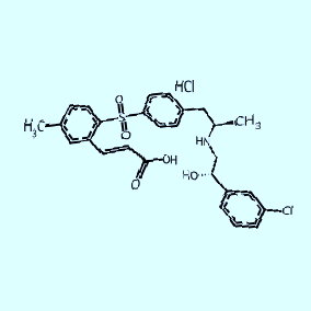 Cc1ccc(S(=O)(=O)c2ccc(C[C@@H](C)NC[C@@H](O)c3cccc(Cl)c3)cc2)c(/C=C/C(=O)O)c1.Cl